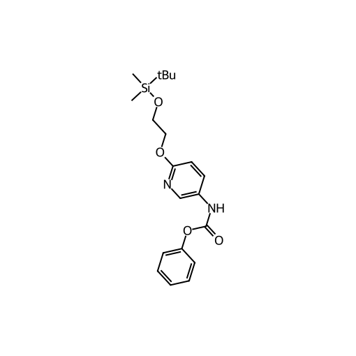 CC(C)(C)[Si](C)(C)OCCOc1ccc(NC(=O)Oc2ccccc2)cn1